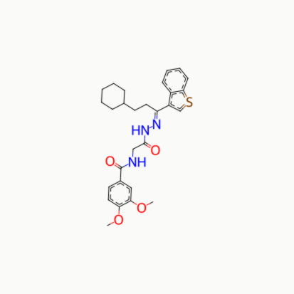 COc1ccc(C(=O)NCC(=O)N/N=C(\CCC2CCCCC2)c2csc3ccccc23)cc1OC